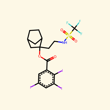 O=C(OC1(CCNS(=O)(=O)C(F)(F)F)CC2CCC1C2)c1cc(I)cc(I)c1I